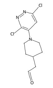 O=CCC1CCN(c2cc(Cl)nnc2Cl)CC1